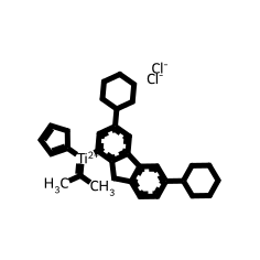 C[C](C)=[Ti+2]([C]1=CC=CC1)[c]1cc(C2CCCCC2)cc2c1Cc1ccc(C3CCCCC3)cc1-2.[Cl-].[Cl-]